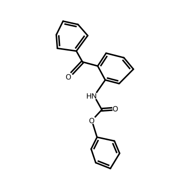 O=C(Nc1ccccc1C(=O)c1ccccc1)Oc1ccccc1